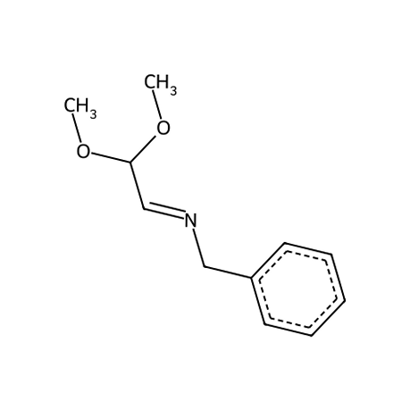 COC(C=NCc1ccccc1)OC